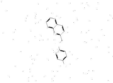 Sc1ccc(SCc2ccc3ccccc3n2)cc1